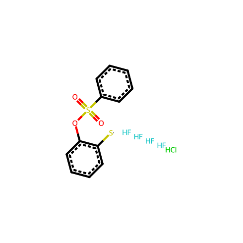 Cl.F.F.F.F.O=S(=O)(Oc1ccccc1[S])c1ccccc1